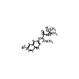 COC(Oc1cnc2ccc(Br)cc2c1)C(=O)NC(C)(C)C